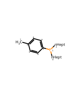 CCCCCCCP(CCCCCCC)c1ccc(C)cc1